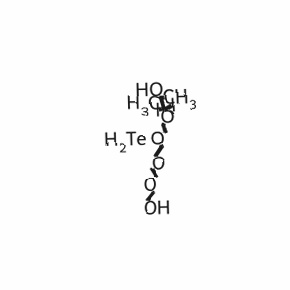 CC(C)(O)C(I)(I)OCCOCCOCCOCCO.[TeH2]